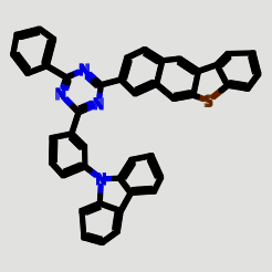 c1ccc(-c2nc(-c3cccc(-n4c5ccccc5c5ccccc54)c3)nc(-c3ccc4cc5c(cc4c3)sc3ccccc35)n2)cc1